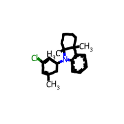 CC1=CC(Cl)=CC(N2c3ccccc3C3(C)CCCCC23C)C1